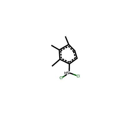 Cc1ccc([SiH](Cl)Cl)c(C)c1C